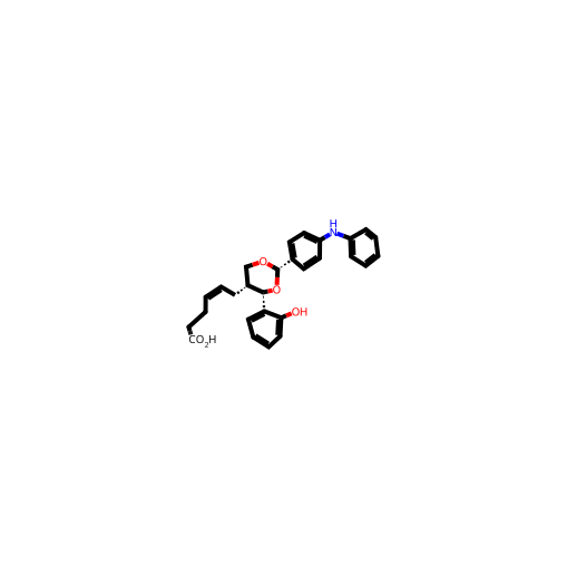 O=C(O)CC/C=C\C[C@@H]1CO[C@H](c2ccc(Nc3ccccc3)cc2)O[C@@H]1c1ccccc1O